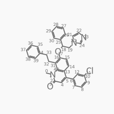 Cn1c(=O)cc(-c2cccc(Cl)c2)c2ccc(OC(Cn3ccnc3)c3ccccc3)c(CCc3ccccc3)c21